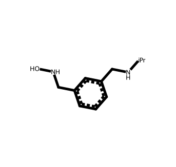 CC(C)NCc1cccc(CNO)c1